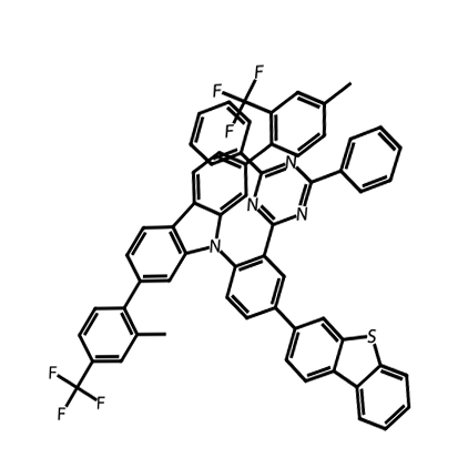 Cc1ccc(-c2ccc3c4ccc(-c5ccc(C(F)(F)F)cc5C)cc4n(-c4ccc(-c5ccc6c(c5)sc5ccccc56)cc4-c4nc(-c5ccccc5)nc(-c5ccccc5)n4)c3c2)c(C(F)(F)F)c1